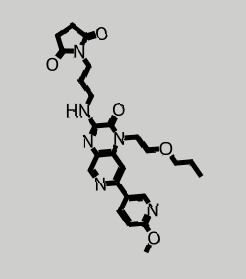 CCCOCCn1c(=O)c(NCCCN2C(=O)CCC2=O)nc2cnc(-c3ccc(OC)nc3)cc21